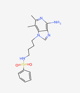 Cc1nc(N)c2ncn(CCCCNS(=O)(=O)c3ccccc3)c2c1C